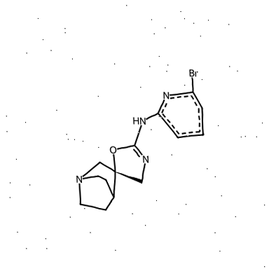 Brc1cccc(NC2=NC[C@@]3(CN4CCC3CC4)O2)n1